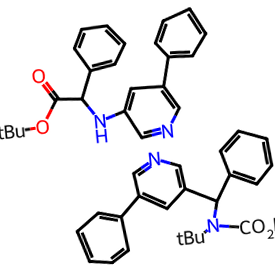 CC(C)(C)N(C(=O)O)C(c1ccccc1)c1cncc(-c2ccccc2)c1.CC(C)(C)OC(=O)C(Nc1cncc(-c2ccccc2)c1)c1ccccc1